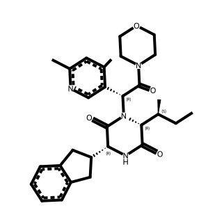 CC[C@H](C)[C@@H]1C(=O)N[C@H](C2Cc3ccccc3C2)C(=O)N1[C@@H](C(=O)N1CCOCC1)c1cnc(C)cc1C